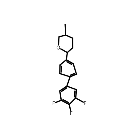 CC1CCC(c2ccc(-c3cc(F)c(F)c(F)c3)cc2)OC1